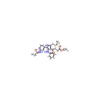 CCCc1[nH]c(-c2ccnc(NC(C)=O)c2)c(Nc2ccccc2)c1C(=O)CCC(=O)OC